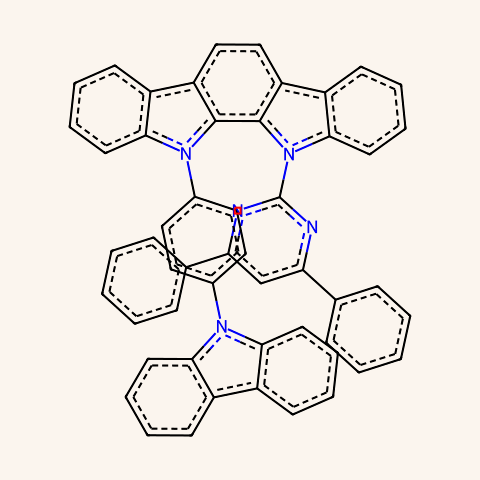 c1ccc(-c2cc(-c3ccccc3)nc(-n3c4ccccc4c4ccc5c6ccccc6n(-c6ccc(-n7c8ccccc8c8ccccc87)cc6)c5c43)n2)cc1